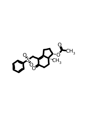 CC(=O)O[C@H]1CCC2=C(CS(=O)(=O)c3ccccc3)C(=O)CC[C@@]21C